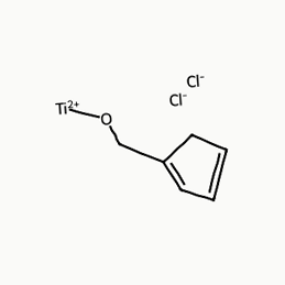 [Cl-].[Cl-].[Ti+2][O]CC1=CC=CC1